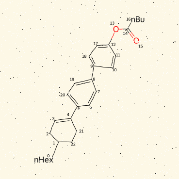 CCCCCCC1CC=C(c2ccc(-c3ccc(OC(=O)CCCC)cc3)cc2)CC1